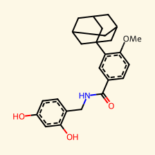 COc1ccc(C(=O)NCc2ccc(O)cc2O)cc1C12CC3CC(CC(C3)C1)C2